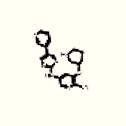 N#Cc1ncc(Nc2ncc(-c3cccnc3)cn2)cc1OC1CCCNC1